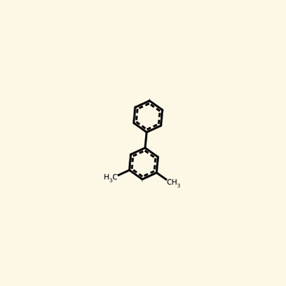 Cc1[c]c(C)cc(-c2cc[c]cc2)c1